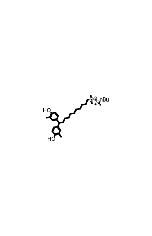 CCCC[Si](C)(C)O[Si](C)(C)CCCCCCCCCCC(c1ccc(O)c(C)c1)c1ccc(O)c(C)c1